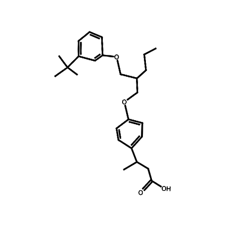 CCCC(COc1ccc(C(C)CC(=O)O)cc1)COc1cccc(C(C)(C)C)c1